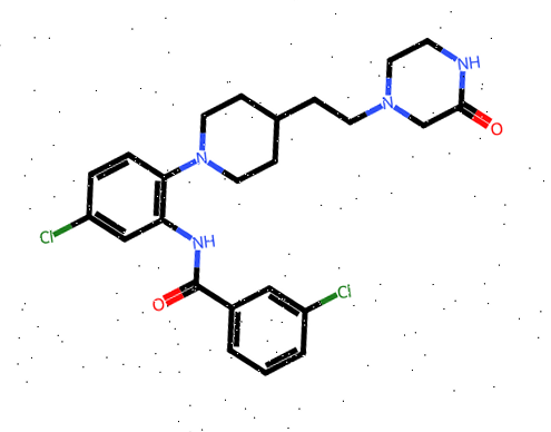 O=C1CN(CCC2CCN(c3ccc(Cl)cc3NC(=O)c3cccc(Cl)c3)CC2)CCN1